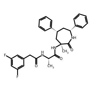 C[C@H](NC(=O)Cc1cc(F)cc(F)c1)C(=O)N[C@@]1(C)C[C@H](c2ccccc2)C[C@H](c2ccccc2)NC1=O